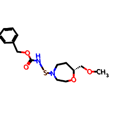 COC[C@H]1CCN(SNC(=O)OCc2ccccc2)CCO1